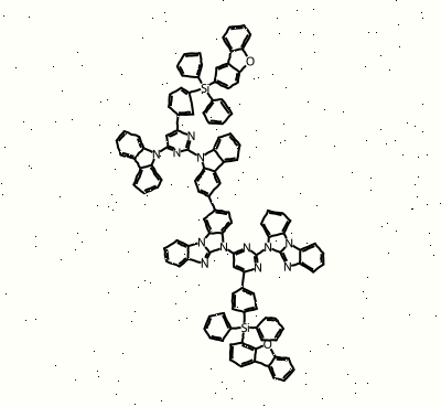 c1ccc([Si](c2ccccc2)(c2cccc(-c3cc(-n4c5ccccc5c5ccccc54)nc(-n4c5ccccc5c5cc(-c6ccc7c(c6)n6c8ccccc8nc6n7-c6cc(-c7ccc([Si](c8ccccc8)(c8ccccc8)c8cccc9c8oc8ccccc89)cc7)nc(-n7c8ccccc8n8c9ccccc9nc78)n6)ccc54)n3)c2)c2ccc3oc4ccccc4c3c2)cc1